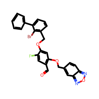 O=Cc1cc(F)c(OCc2cccc(-c3ccccc3)c2Br)cc1OCc1ccc2nonc2c1